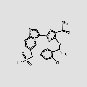 C[C@@H](Oc1nc(-c2cnc3ccc(CS(C)(=O)=O)cn23)sc1C(N)=O)c1ccccc1Cl